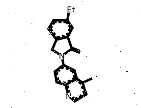 C=C1c2cc(CC)ccc2CN1c1ccc2nccc(C)c2c1